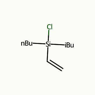 C=C[Si](Cl)(CCCC)C(C)CC